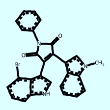 Cn1cc(C2=C(c3c[nH]c4cccc(Br)c34)C(=O)N(c3ccccc3)C2=O)c2ccccc21